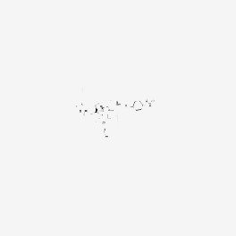 CC(=O)COC(=O)C(Cl)[N+]1(SC(=S)Cc2nnc(C)s2)C[C@@H](C(C)OC(=O)OCc2ccc([N+](=O)[O-])cc2)C1=O